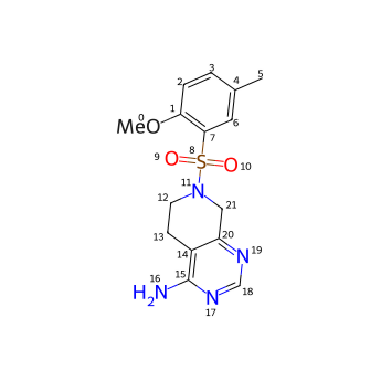 COc1ccc(C)cc1S(=O)(=O)N1CCc2c(N)ncnc2C1